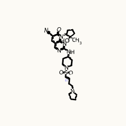 C[C@@]1(O)CCC[C@H]1n1c(=O)c(C#N)cc2cnc(NC3CCN(S(=O)(=O)/C=C/CCN4CCCC4)CC3)nc21